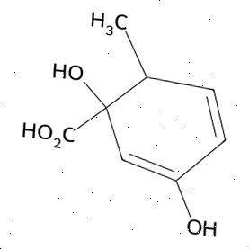 CC1C=CC(O)=CC1(O)C(=O)O